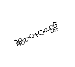 C=CC(=O)OC(COC1CCC(C(C)(C)C2CCC(OCC(OCC)OC(=O)C=C)CC2)CC1)OCC